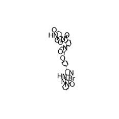 CN1C[C@H](Nc2nc3ccccn3c(=O)c2Br)C[C@H](c2ccc(OCC3CN(c4cccc5c4C(=O)N(C4CCC(=O)NC4=O)C5=O)CCO3)cc2)C1